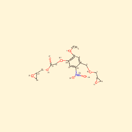 COc1cc(COCC2CO2)c([N+](=O)[O-])cc1OCC(=O)OCC1CO1